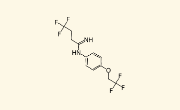 N=C(CCC(F)(F)F)Nc1ccc(OCC(F)(F)F)cc1